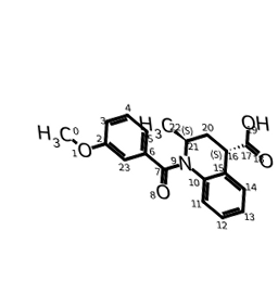 COc1cccc(C(=O)N2c3ccccc3[C@@H](C(=O)O)C[C@@H]2C)c1